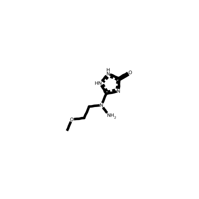 COCCN(N)c1nc(=O)[nH][nH]1